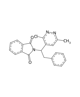 Cc1cc(C(Cc2ccccc2)N2C(=O)c3ccccc3C2=O)c(Cl)nn1